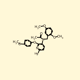 COc1ccc(Oc2nc([18F])ccc2N(Cc2cc(OC)ccc2OC)C(C)=O)cc1